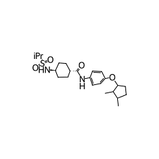 CC1CCC(Oc2ccc(NC(=O)[C@H]3CC[C@H](NS(=O)(=O)C(C)C)CC3)cc2)C1C